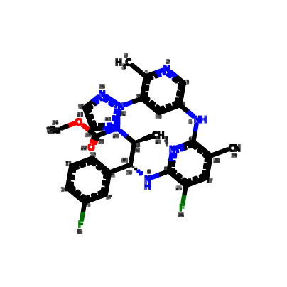 Cc1ncc(Nc2nc(N[C@H](c3cccc(F)c3)[C@H](C)NC(=O)OC(C)(C)C)c(F)cc2C#N)cc1-n1nccn1